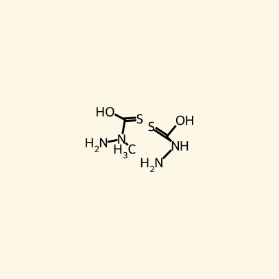 CN(N)C(O)=S.NNC(O)=S